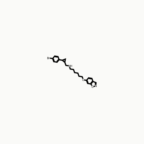 Brc1ccc(C2CC2CNCCCCCCOc2ccc3cnoc3c2)cc1